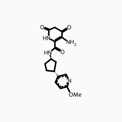 COc1ccc([C@@H]2CC[C@@H](NC(=O)C3=C(N)C(=O)CC(=O)N3)C2)cn1